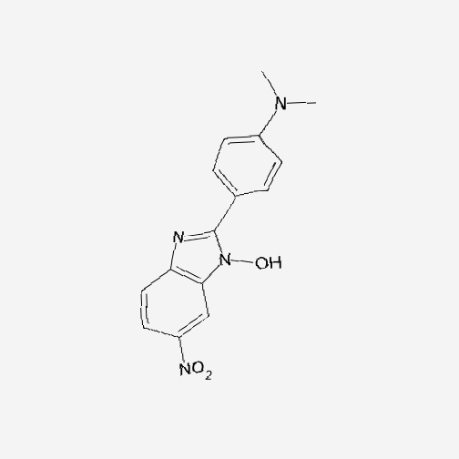 CN(C)c1ccc(-c2nc3ccc([N+](=O)[O-])cc3n2O)cc1